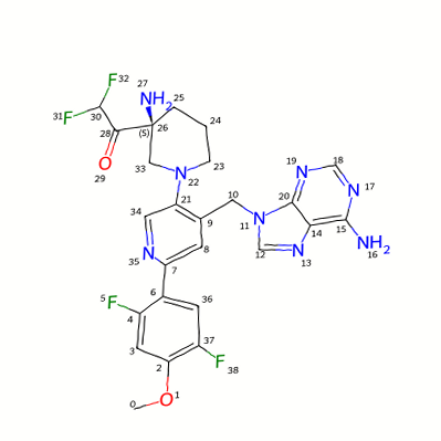 COc1cc(F)c(-c2cc(Cn3cnc4c(N)ncnc43)c(N3CCC[C@@](N)(C(=O)C(F)F)C3)cn2)cc1F